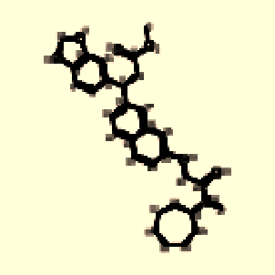 COC(=O)CC(c1ccc2c(c1)OCO2)c1ccc2ccc(OCC(=O)N(C)C3CCCCCC3)cc2c1